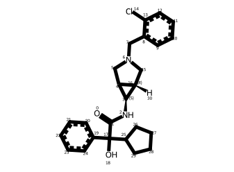 O=C(N[C@H]1C2CN(Cc3ccccc3Cl)C[C@@H]21)C(O)(c1ccccc1)C1CCCC1